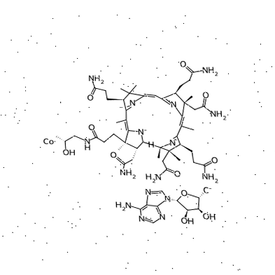 C/C1=C2/[N-][C@H]([C@H](CC(N)=O)[C@@]2(C)CCC(=O)NC[C@@H](C)O)[C@]2(C)N=C(/C(C)=C3N=C(/C=C4N=C1[C@@H](CCC(N)=O)C\4(C)C)[C@@H](CCC(N)=O)[C@]\3(C)CC(N)=O)[C@@H](CCC(N)=O)[C@]2(C)CC(N)=O.[CH2-][C@H]1O[C@@H](n2cnc3c(N)ncnc32)[C@H](O)[C@@H]1O.[Co]